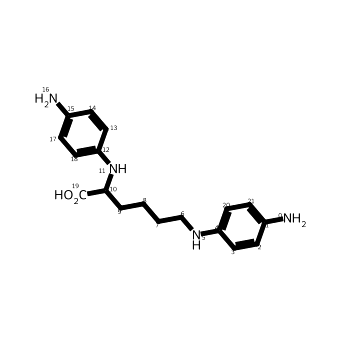 Nc1ccc(NCCCCC(Nc2ccc(N)cc2)C(=O)O)cc1